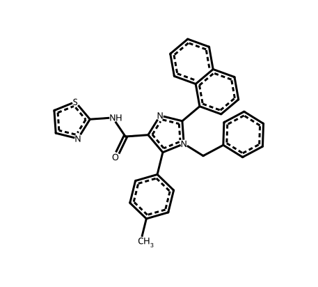 Cc1ccc(-c2c(C(=O)Nc3nccs3)nc(-c3cccc4ccccc34)n2Cc2ccccc2)cc1